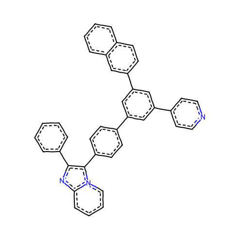 c1ccc(-c2nc3ccccn3c2-c2ccc(-c3cc(-c4ccncc4)cc(-c4ccc5ccccc5c4)c3)cc2)cc1